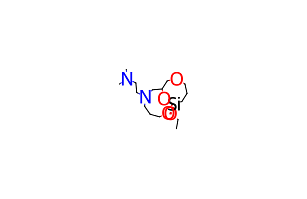 CCO[Si]12CCCOCC(CN(CCN(C)C)CCCO1)O2